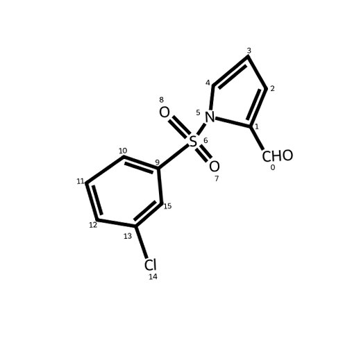 O=Cc1cccn1S(=O)(=O)c1cccc(Cl)c1